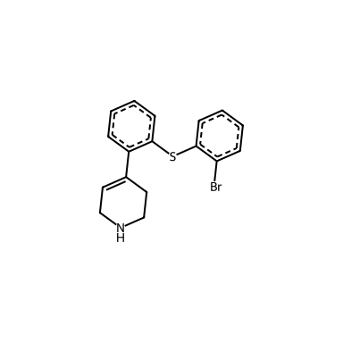 Brc1ccccc1Sc1ccccc1C1=CCNCC1